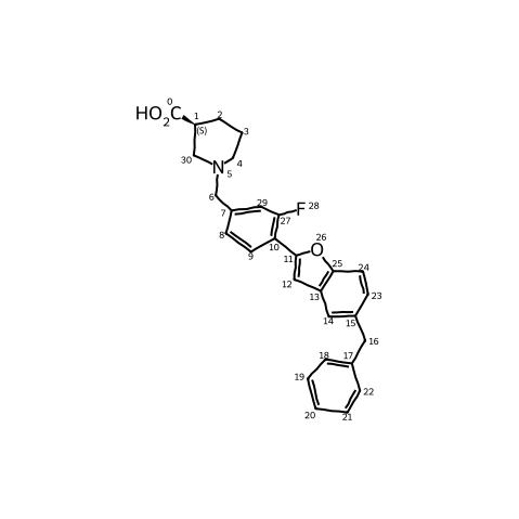 O=C(O)[C@H]1CCCN(Cc2ccc(-c3cc4cc(Cc5ccccc5)ccc4o3)c(F)c2)C1